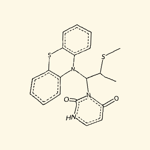 CSC(C)C(N1c2ccccc2Sc2ccccc21)n1c(=O)cc[nH]c1=O